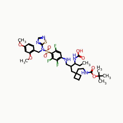 CCC(NC(=O)O)C(CNc1cc(F)c(S(=O)(=O)N(Cc2ccc(OC)cc2OC)c2ncns2)c(F)c1F)CC1(CCNC(=O)OC(C)(C)C)CCC1